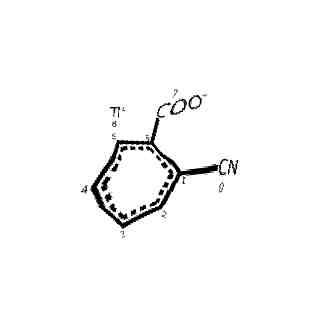 N#Cc1ccccc1C(=O)[O-].[Tl+]